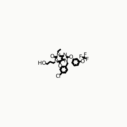 CCn1c(=O)n(CCCO)c(=O)c2c1nc(Oc1cccc(OC(F)(F)F)c1)n2Cc1ccc(Cl)cc1